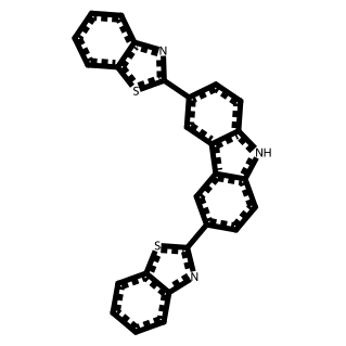 c1ccc2sc(-c3ccc4[nH]c5ccc(-c6nc7ccccc7s6)cc5c4c3)nc2c1